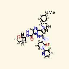 [2H]C([2H])([2H])N(Cc1ccc(OC)cc1)c1cc(Nc2cccn(-c3ncccc3F)c2=O)nn2c(C(=O)N[C@@H]3C[C@H]4CCO[C@H]43)cnc12